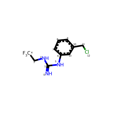 N=C(NCC(F)(F)F)Nc1cccc(CCl)c1